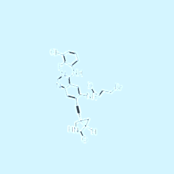 O=C(/C=C/CBr)Nc1cc2c(Nc3cccc(Cl)c3F)ncnc2cc1C#C[C@]12CNC(=O)[C@H]1C2